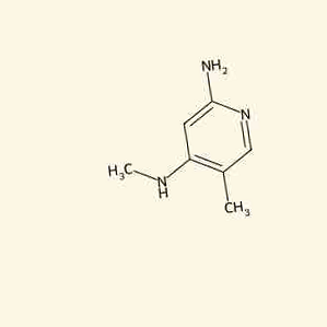 CNc1cc(N)ncc1C